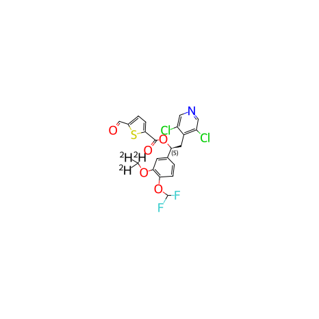 [2H]C([2H])([2H])Oc1cc([C@H](Cc2c(Cl)cncc2Cl)OC(=O)c2ccc(C=O)s2)ccc1OC(F)F